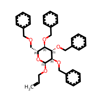 C=CCO[C@H]1O[C@H](COCc2ccccc2)[C@@H](OCc2ccccc2)[C@H](OCc2ccccc2)[C@H]1OCc1ccccc1